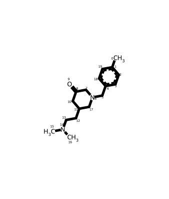 Cc1ccc(CN2CC(=O)CC(CCN(C)C)C2)cc1